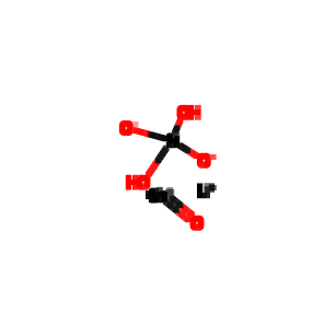 [Li+].[O-][Si]([O-])(O)O.[O]=[Sb+]